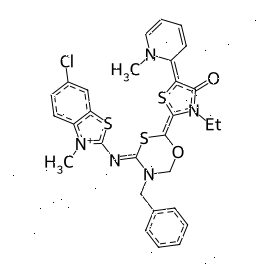 CCn1c(=O)/c(=C2\C=CC=CN2C)s/c1=C1/OCN(Cc2ccccc2)/C(=N/c2sc3cc(Cl)ccc3[n+]2C)S1